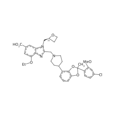 CCOc1cc(C(=O)O)cc2c1nc(CN1CCC(c3cccc4c3OC(C)(c3ccc(Cl)cc3OC)O4)CC1)n2C[C@@H]1CCO1